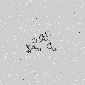 C[C@H]1CCCN(Cc2cc(C(F)(F)F)c3ncc(-c4cccc([C@H]5[C@H](C)[C@H]5c5nncn5C)c4)c(=O)n3c2)C1